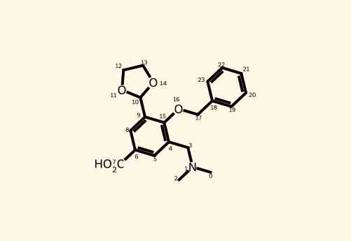 CN(C)Cc1cc(C(=O)O)cc(C2OCCO2)c1OCc1ccccc1